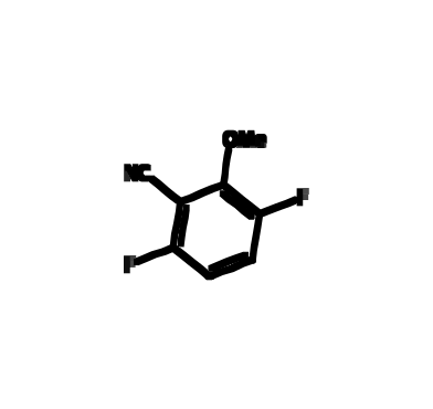 COc1c(F)ccc(F)c1C#N